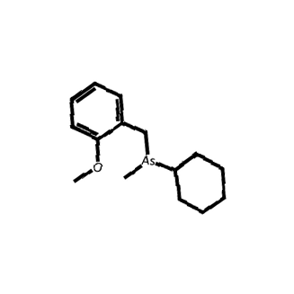 COc1ccccc1C[As](C)C1CCCCC1